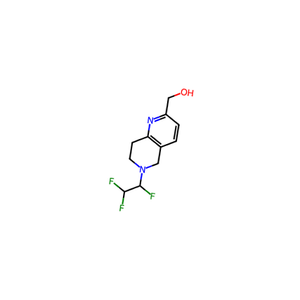 OCc1ccc2c(n1)CCN(C(F)C(F)F)C2